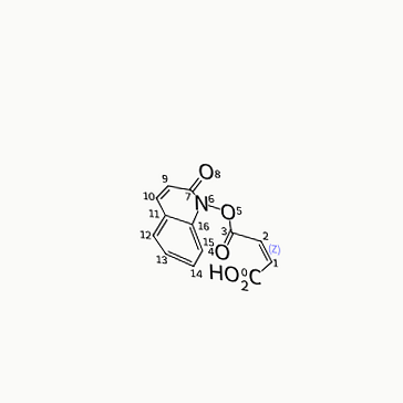 O=C(O)/C=C\C(=O)On1c(=O)ccc2ccccc21